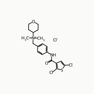 C[N+](C)(Cc1ccc(NC(=O)c2cc(Cl)sc2Cl)cc1)C1CCOCC1.[Cl-]